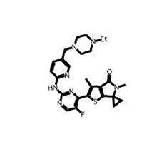 CCN1CCN(Cc2ccc(Nc3ncc(F)c(-c4sc5c(c4C)C(=O)N(C)C54CC4)n3)nc2)CC1